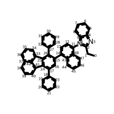 CCc1nc2ccccc2n1-c1ccc(-c2cc(-c3ccccc3)c3c(c2-c2ccccc2)-c2cccc4cccc-3c24)c2ccccc12